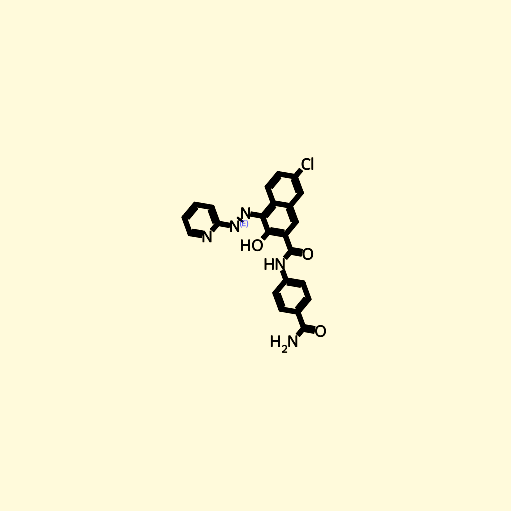 NC(=O)c1ccc(NC(=O)c2cc3cc(Cl)ccc3c(/N=N/c3ccccn3)c2O)cc1